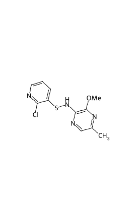 COc1nc(C)cnc1NSc1cccnc1Cl